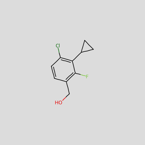 OCc1ccc(Cl)c(C2CC2)c1F